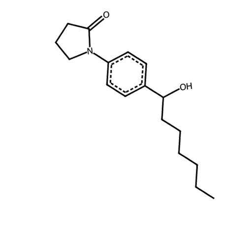 CCCCCCC(O)c1ccc(N2CCCC2=O)cc1